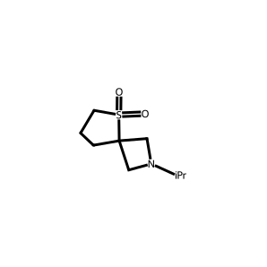 CC(C)N1CC2(CCCS2(=O)=O)C1